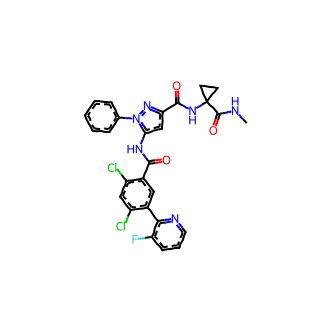 CNC(=O)C1(NC(=O)c2cc(NC(=O)c3cc(-c4ncccc4F)c(Cl)cc3Cl)n(-c3ccccc3)n2)CC1